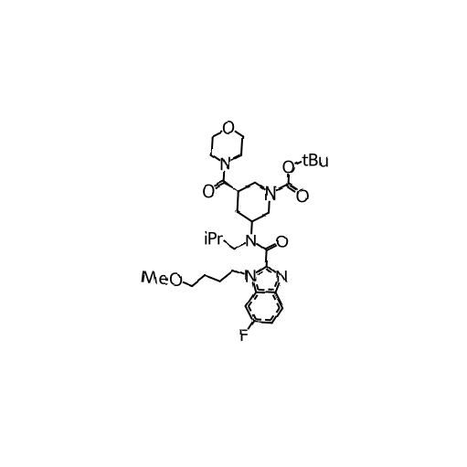 COCCCCn1c(C(=O)N(CC(C)C)C2C[C@@H](C(=O)N3CCOCC3)CN(C(=O)OC(C)(C)C)C2)nc2ccc(F)cc21